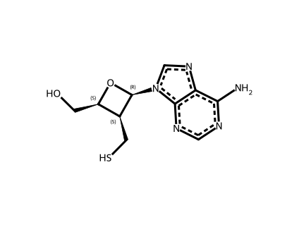 Nc1ncnc2c1ncn2[C@@H]1O[C@H](CO)[C@@H]1CS